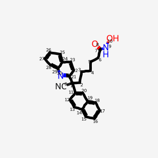 N#CC(CCCCCC(=O)NO)(c1ccc2ccccc2c1)c1ccc2ccccc2n1